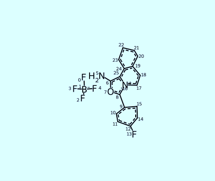 F[B-](F)(F)F.Nc1oc(-c2ccc(F)cc2)[n+]2ccc3ccccc3c12